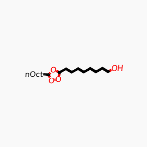 CCCCCCCCC1OOC(CCCCCCCCO)O1